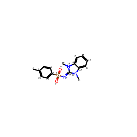 Cc1ccc(S(=O)(=O)N=c2n(C)c3ccccc3n2C)cc1